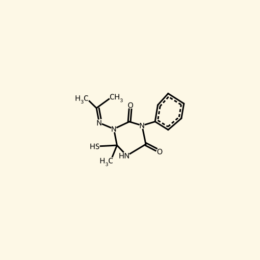 CC(C)=NN1C(=O)N(c2ccccc2)C(=O)NC1(C)S